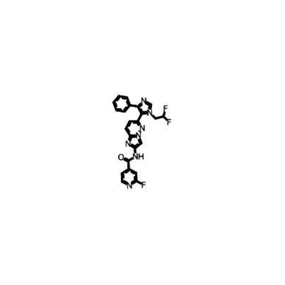 O=C(Nc1cn2nc(-c3c(-c4ccccc4)ncn3CC(F)F)ccc2n1)c1ccnc(F)c1